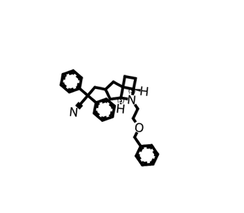 N#CC(CC1C[C@@H]2N(CCOCc3ccccc3)[C@H]3CCC32C1)(c1ccccc1)c1ccccc1